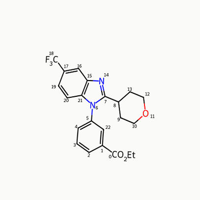 CCOC(=O)c1cccc(-n2c(C3CCOCC3)nc3cc(C(F)(F)F)ccc32)c1